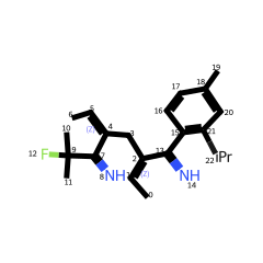 C/C=C(/C/C(=C/C)C(=N)C(C)(C)F)C(=N)c1ccc(C)cc1C(C)C